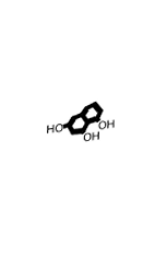 Oc1cc(O)c2c(O)cccc2c1